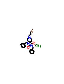 CSCCCN1CCC2(CC1)C(=O)N(Cc1ccccc1)C(=O)N2Cc1ccccc1.Cl